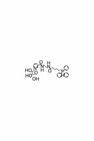 O=C(CCCCC[PH](c1ccccc1)(c1ccccc1)c1ccccc1)NCCNC(=O)c1ccc[n+]([C@@H]2O[C@H](CO)[C@@H](O)[C@H]2O)c1